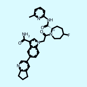 Cc1cccc(NC(=O)[C@@H]2CCC(F)CCN2C(=O)Cn2cc(C(N)=O)c3cc(-c4cnc5c(c4)CCC5)ccc32)n1